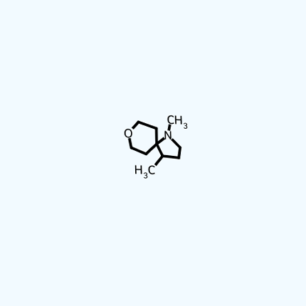 CC1CCN(C)C12CCOCC2